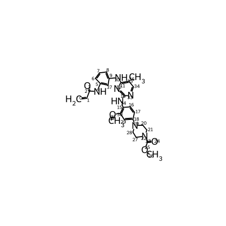 C=CC(=O)Nc1cccc(Nc2nc(Nc3ccc(N4CCN(C(=O)OC)CC4)cc3OC)ncc2C)c1